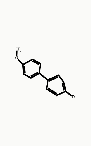 CCc1[c]cc(-c2ccc(OC(F)(F)F)cc2)cc1